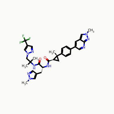 Cn1cc(C[C@@H](NC(=O)[C@@H]2C[C@@]2(C)c2ccc(-c3cnc4nn(C)cc4c3)cc2)C(=O)NC(C)(C)Cn2cc(C(F)(F)F)cn2)cn1